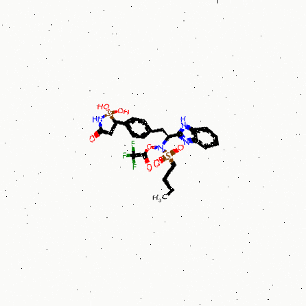 CCCCS(=O)(=O)N(OC(=O)C(F)(F)F)[C@@H](Cc1ccc(C2CC(=O)NS2(O)O)cc1)c1nc2ccccc2[nH]1